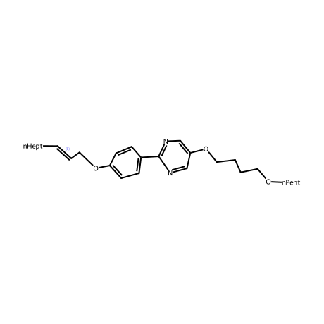 CCCCCCC/C=C/COc1ccc(-c2ncc(OCCCCOCCCCC)cn2)cc1